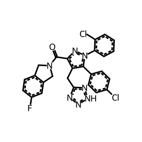 O=C(c1nn(-c2ccccc2Cl)c(-c2ccc(Cl)cc2)c1Cc1nn[nH]n1)N1Cc2ccc(F)cc2C1